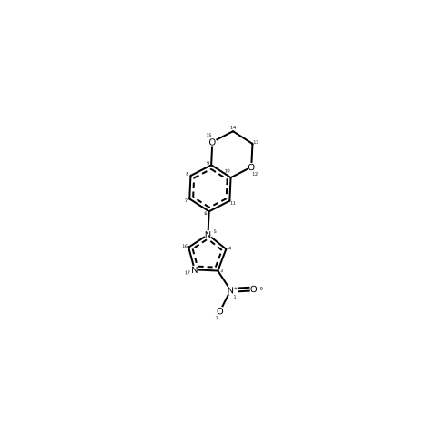 O=[N+]([O-])c1cn(-c2ccc3c(c2)OCCO3)cn1